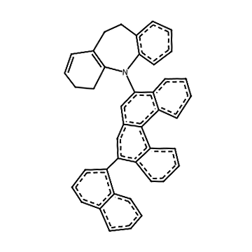 C1=CC2=C(CC1)N(c1cc3cc(-c4cccc5ccccc45)c4ccccc4c3c3ccccc13)c1ccccc1CC2